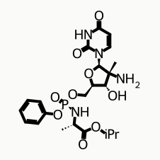 CC(C)OC(=O)[C@H](C)N[P@@](=O)(OC[C@H]1O[C@@H](n2ccc(=O)[nH]c2=O)[C@](C)(N)[C@@H]1O)Oc1ccccc1